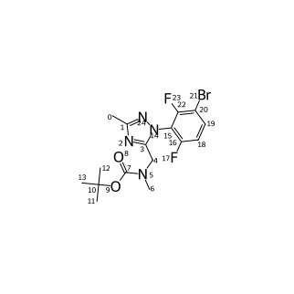 Cc1nc(CN(C)C(=O)OC(C)(C)C)n(-c2c(F)ccc(Br)c2F)n1